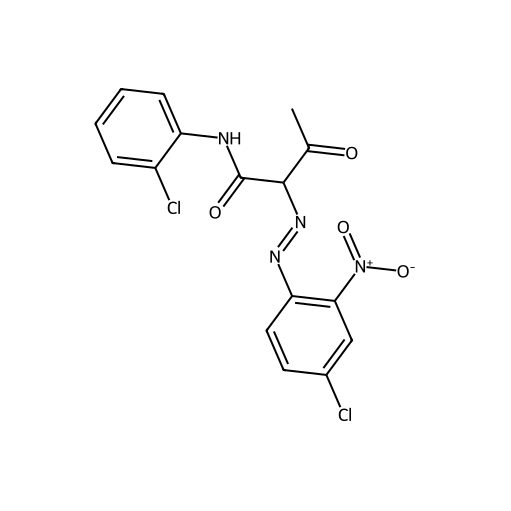 CC(=O)C(/N=N/c1ccc(Cl)cc1[N+](=O)[O-])C(=O)Nc1ccccc1Cl